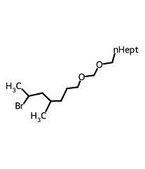 CCCCCCCCOCOCCCC(C)CC(C)Br